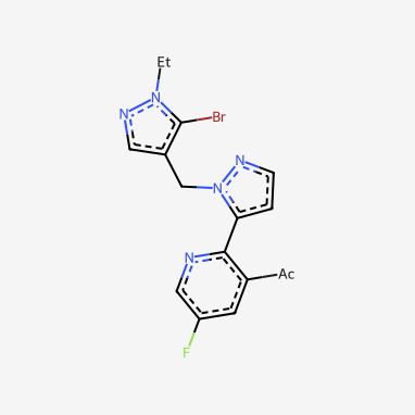 CCn1ncc(Cn2nccc2-c2ncc(F)cc2C(C)=O)c1Br